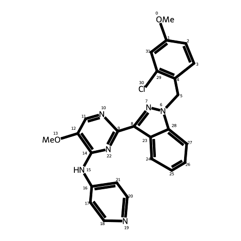 COc1ccc(Cn2nc(-c3ncc(OC)c(Nc4ccncc4)n3)c3ccccc32)c(Cl)c1